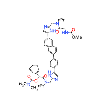 CCCN(Cc1ncc(-c2ccc3cc(-c4ccc(-c5cnc(CN(CCC)C(=O)C(OC(=O)N(C)C)c6ccccc6)[nH]5)cc4)ccc3c2)[nH]1)C(=O)CNC(=O)OC